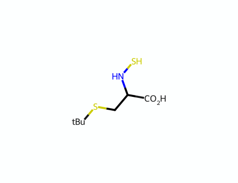 CC(C)(C)SCC(NS)C(=O)O